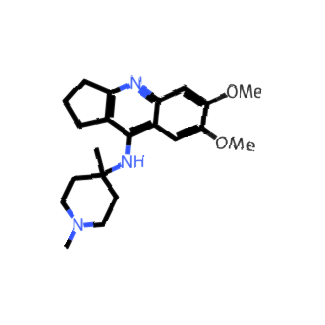 COc1cc2nc3c(c(NC4(C)CCN(C)CC4)c2cc1OC)CCC3